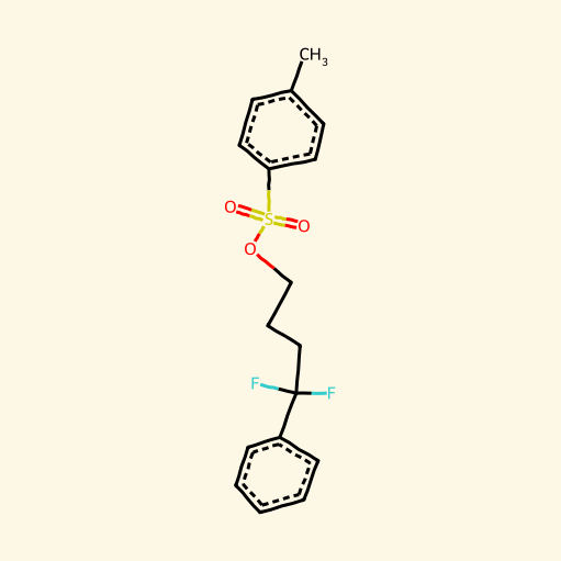 Cc1ccc(S(=O)(=O)OCCCC(F)(F)c2ccccc2)cc1